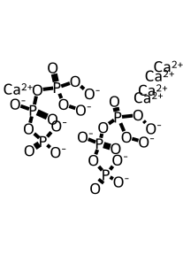 O=P([O-])([O-])OP(=O)([O-])OP(=O)(O[O-])O[O-].O=P([O-])([O-])OP(=O)([O-])OP(=O)(O[O-])O[O-].[Ca+2].[Ca+2].[Ca+2].[Ca+2].[Ca+2]